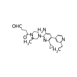 C=Cc1cc(-c2cc(N)c(N3CCN(C(=O)CCC=O)[C@H](C)C3)nc2C2CC2)ccn1